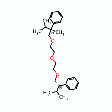 CC(C)[C@H](COCCOCCOC[C@@](C)(c1ccccc1)C(C)C)c1ccccc1